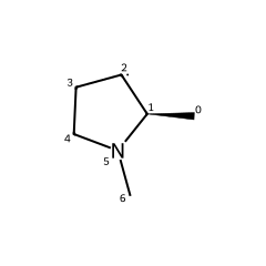 C[C@@H]1[CH]CCN1C